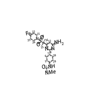 CNC(=O)Nc1ccc(-c2nc(N)cc(C(C)(C)S(=O)(=O)c3ccc(F)cc3)n2)cc1